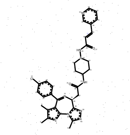 Cc1sc2c(c1C)C(c1ccc(Cl)cc1)=N[C@@H](CC(=O)NC1CCN(NC(=O)/C=C/c3cccnc3)CC1)c1nnc(C)n1-2